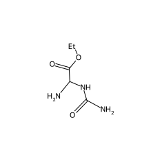 CCOC(=O)C(N)NC(N)=O